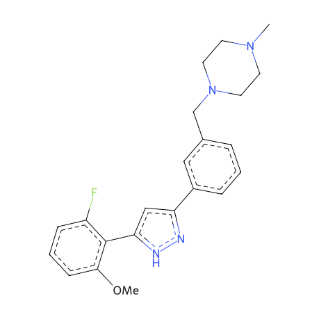 COc1cccc(F)c1-c1cc(-c2cccc(CN3CCN(C)CC3)c2)n[nH]1